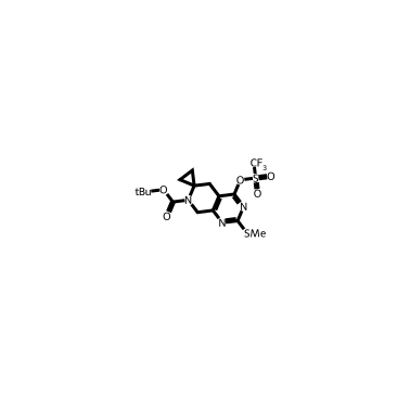 CSc1nc2c(c(OS(=O)(=O)C(F)(F)F)n1)CC1(CC1)N(C(=O)OC(C)(C)C)C2